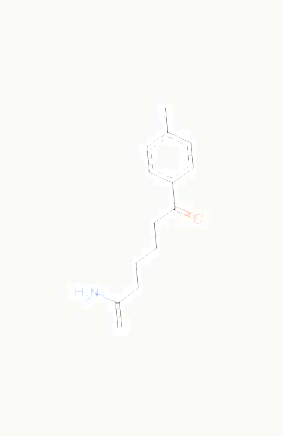 C=C(N)CCCCC(=O)c1ccc(C)cc1